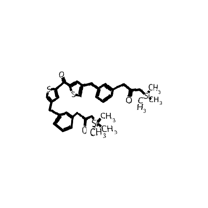 C[Si](C)(C)CC(=O)Cc1cccc(Cc2csc(C(=O)c3cc(Cc4cccc(CC(=O)C[Si](C)(C)C)c4)cs3)c2)c1